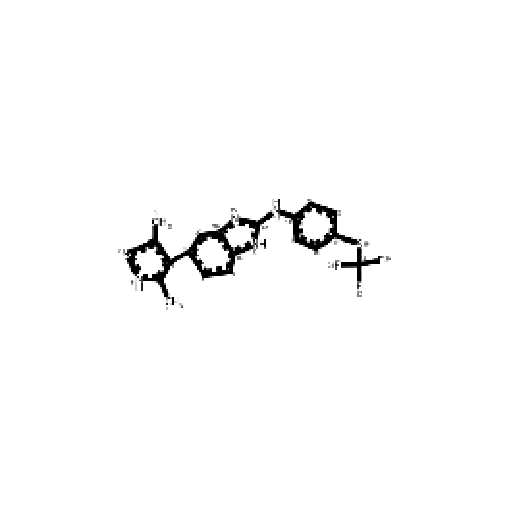 Cc1n[nH]c(C)c1-c1ccc2[nH]c(Nc3ccc(SC(F)(F)F)cc3)nc2c1